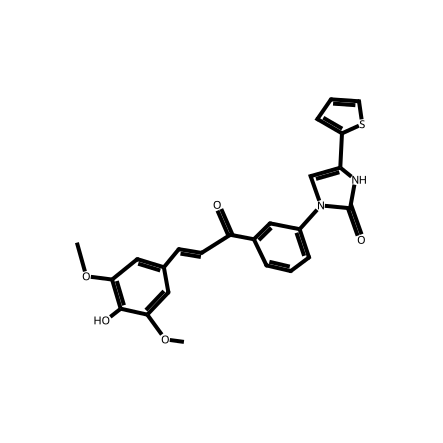 COc1cc(/C=C/C(=O)c2cccc(-n3cc(-c4cccs4)[nH]c3=O)c2)cc(OC)c1O